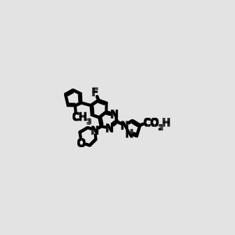 Cc1ccccc1-c1cc2c(N3CCOCC3)nc(-n3cc(C(=O)O)cn3)nc2cc1F